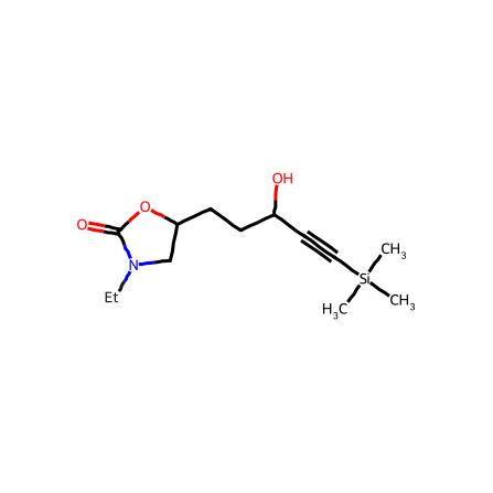 CCN1CC(CCC(O)C#C[Si](C)(C)C)OC1=O